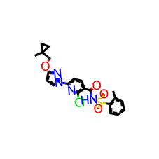 Cc1ccccc1S(=O)(=O)NC(=O)c1ccc(-n2ccc(OCC3(C)CC3)n2)nc1Cl